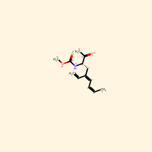 C=C/C(=C\C=C/C)C[C@H](NC(=O)OC)C(C)=O